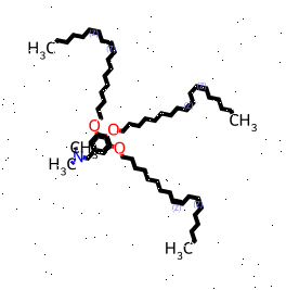 CCCCC/C=C\C/C=C\CCCCCCCCOc1cc(CN(C)C)cc(OCCCCCCCC/C=C\C/C=C\CCCCC)c1OCCCCCCCC/C=C\C/C=C\CCCCC